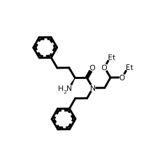 CCOC(CN(CCc1ccccc1)C(=O)[C@@H](N)CCc1ccccc1)OCC